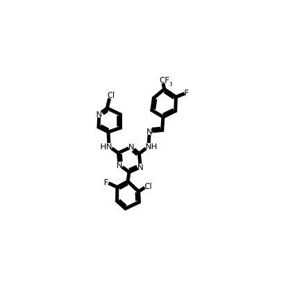 Fc1cc(/C=N/Nc2nc(Nc3ccc(Cl)nc3)nc(-c3c(F)cccc3Cl)n2)ccc1C(F)(F)F